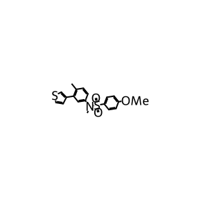 COc1ccc(S(=O)(=O)N(C)c2ccc(C)c(-c3ccsc3)c2)cc1